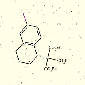 CCOC(=O)C(C(=O)OCC)(C(=O)OCC)[C@@H]1CCCc2cc(I)ccc21